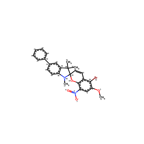 COc1cc([N+](=O)[O-])c2c(c1Br)C=CC1(O2)N(C)c2ccc(-c3ccccc3)cc2C1(C)C